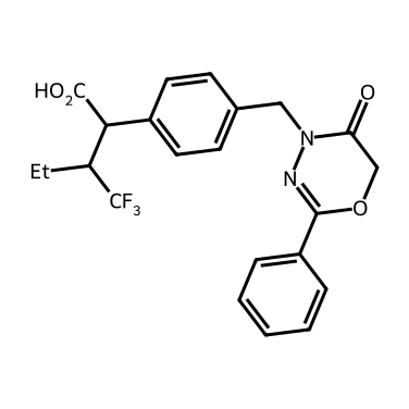 CCC(C(C(=O)O)c1ccc(CN2N=C(c3ccccc3)OCC2=O)cc1)C(F)(F)F